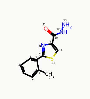 Cc1ccccc1-c1nc(C(=O)NN)cs1